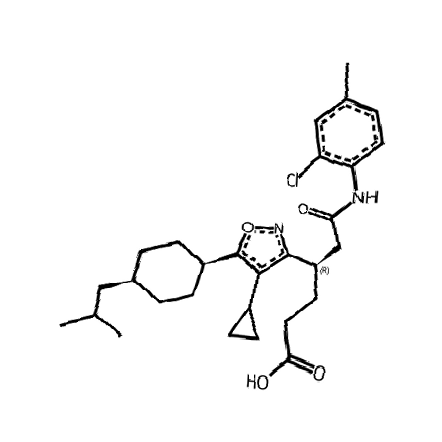 Cc1ccc(NC(=O)C[C@@H](CCC(=O)O)c2noc([C@H]3CC[C@@H](CC(C)C)CC3)c2C2CC2)c(Cl)c1